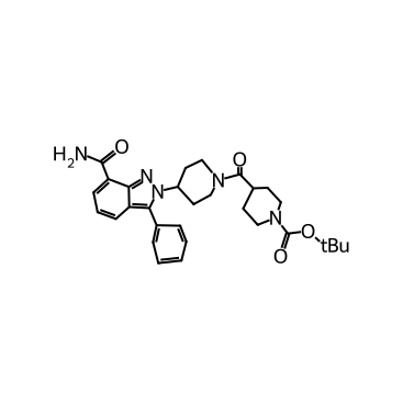 CC(C)(C)OC(=O)N1CCC(C(=O)N2CCC(n3nc4c(C(N)=O)cccc4c3-c3ccccc3)CC2)CC1